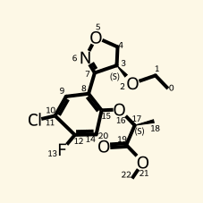 CCO[C@@H]1CON=C1c1cc(Cl)c(F)cc1O[C@@H](C)C(=O)OC